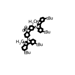 Cn1c2ccc(C(C)(C)C)cc2c2c3cc(C(C)(C)C)ccc3n(-c3ccc4c(c3)-c3cc(-n5c6ccc(C(C)(C)C)cc6c6c7cc(C(C)(C)C)ccc7n(C)c65)ccc3S4(=O)=O)c21